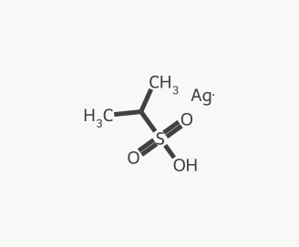 CC(C)S(=O)(=O)O.[Ag]